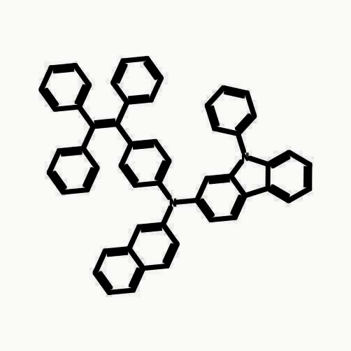 c1ccc(C(=C(c2ccccc2)c2ccc(N(c3ccc4ccccc4c3)c3ccc4c5ccccc5n(-c5ccccc5)c4c3)cc2)c2ccccc2)cc1